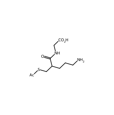 CC(=O)SCC(CCCN)C(=O)NCC(=O)O